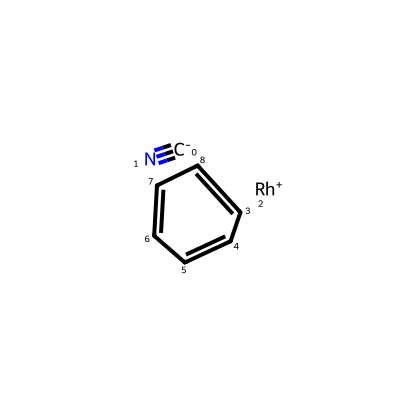 [C-]#N.[Rh+].c1ccccc1